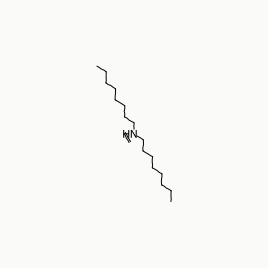 C=C.CCCCCCCCNCCCCCCCC